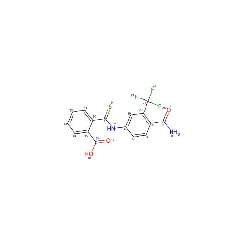 NC(=O)c1ccc(NC(=S)c2ccccc2C(=O)O)cc1C(F)(F)F